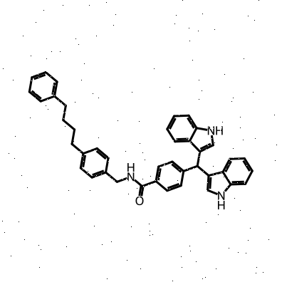 O=C(NCc1ccc(CCCCc2ccccc2)cc1)c1ccc(C(c2c[nH]c3ccccc23)c2c[nH]c3ccccc23)cc1